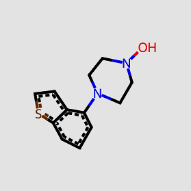 ON1CCN(c2cccc3sccc23)CC1